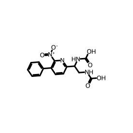 O=C(O)NCC(NC(=O)O)c1ccc(-c2ccccc2)c([N+](=O)[O-])n1